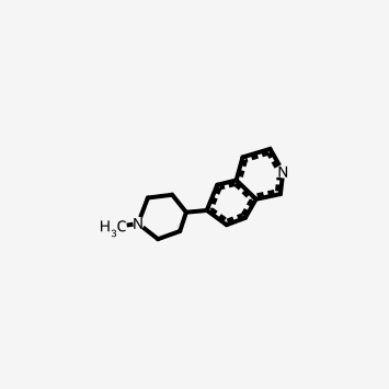 CN1CCC(c2ccc3cnccc3c2)CC1